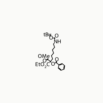 CCOC(=O)C(CCCCCCNC(=O)OC(C)(C)C)(OC(=O)c1ccccc1)C(=O)OC